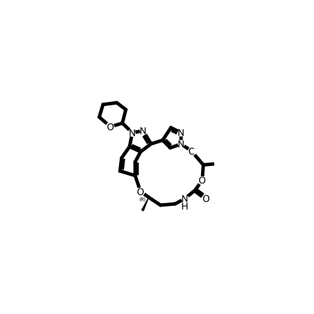 CC1Cn2cc(cn2)-c2nn(C3CCCCO3)c3ccc(cc23)O[C@H](C)CCNC(=O)O1